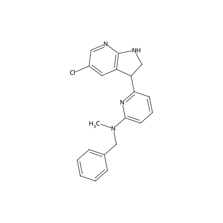 CN(Cc1ccccc1)c1cccc(C2CNc3ncc(Cl)cc32)n1